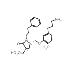 NCCCc1cccc(OC[C@@H]2C[C@@H](CC(=O)O)C(=O)N2CCCc2ccccc2)c1.O